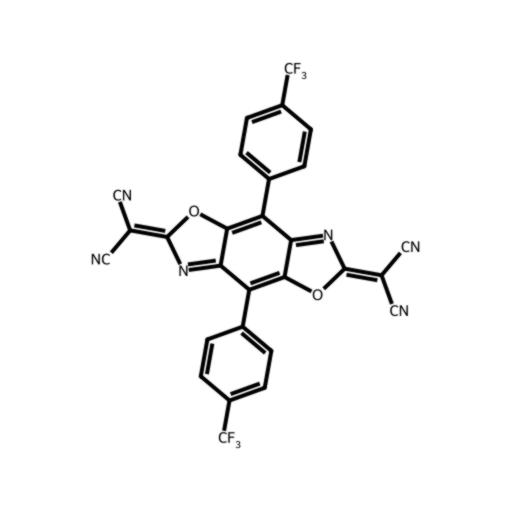 N#CC(C#N)=c1nc2c(-c3ccc(C(F)(F)F)cc3)c3oc(=C(C#N)C#N)nc3c(-c3ccc(C(F)(F)F)cc3)c2o1